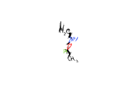 C=CCNCOC(F)CC